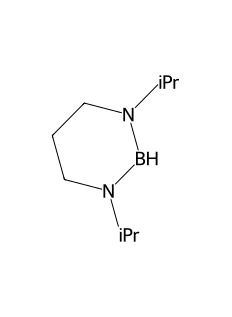 CC(C)N1BN(C(C)C)CCC1